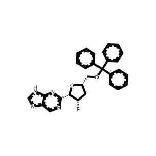 F[C@H]1C[C@@H](COC(c2ccccc2)(c2ccccc2)c2ccccc2)O[C@H]1c1ncc2nc[nH]c2n1